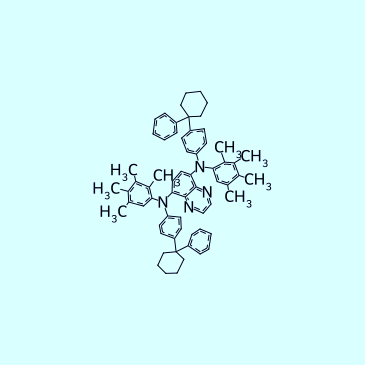 Cc1cc(N(c2ccc(C3(c4ccccc4)CCCCC3)cc2)c2ccc(N(c3ccc(C4(c5ccccc5)CCCCC4)cc3)c3cc(C)c(C)c(C)c3C)c3nccnc23)c(C)c(C)c1C